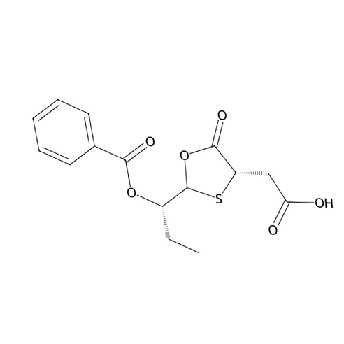 CC[C@H](OC(=O)c1ccccc1)C1OC(=O)[C@H](CC(=O)O)S1